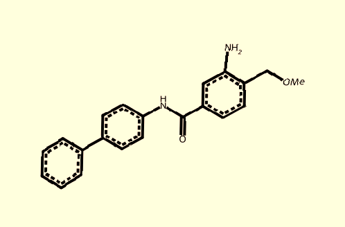 COCc1ccc(C(=O)Nc2ccc(-c3ccccc3)cc2)cc1N